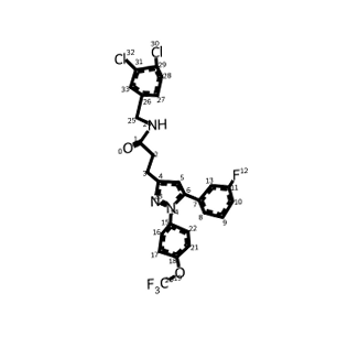 O=C(CCc1cc(-c2cccc(F)c2)n(-c2ccc(OC(F)(F)F)cc2)n1)NCc1ccc(Cl)c(Cl)c1